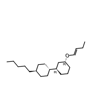 CCC=CO[C@@H]1CCC[C@@H]([C@H]2CC[C@H](CCCCC)CC2)C1